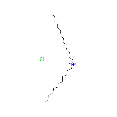 CCCCCCCCCCCCCC[N+](C)(C)CCCCCCCCCCCC.[Cl-]